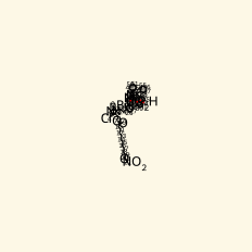 CCCCc1nc(Cl)c(COC(=O)CCCCCCCCCCO[N+](=O)[O-])n1CCc1ccc(-c2ccccc2-c2nnnn2C(c2ccccc2)(c2ccccc2)c2ccccc2)c(C(=O)O)c1